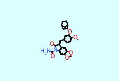 COc1ccc(/C=C2/C(=O)N(C(N)=O)c3cc4c(cc32)OCO4)cc1OC1CC2CCC1C2